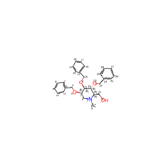 CC(=O)N1C[C@@H](OCc2ccccc2)[C@@H](OCc2ccccc2)[C@H](OCc2ccccc2)[C@H]1CO